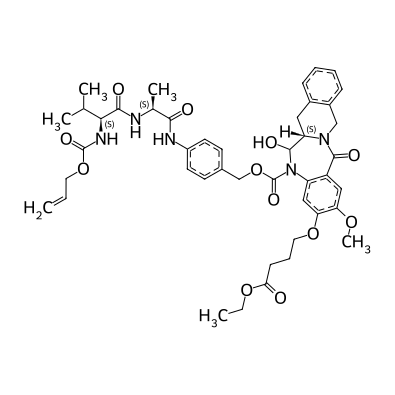 C=CCOC(=O)N[C@H](C(=O)N[C@@H](C)C(=O)Nc1ccc(COC(=O)N2c3cc(OCCCC(=O)OCC)c(OC)cc3C(=O)N3Cc4ccccc4C[C@H]3C2O)cc1)C(C)C